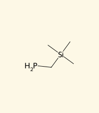 C[Si](C)(C)CP